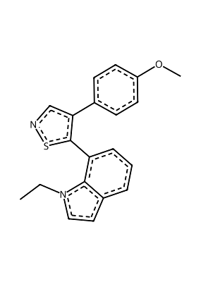 CCn1ccc2cccc(-c3sncc3-c3ccc(OC)cc3)c21